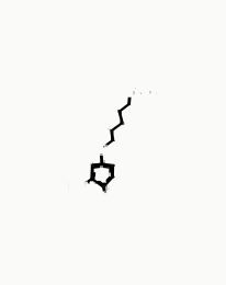 CCCCCCCCCCCCCCOc1ccc(C=O)c(O)c1